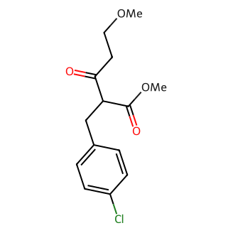 COCCC(=O)C(Cc1ccc(Cl)cc1)C(=O)OC